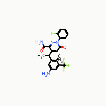 Cc1c([C@@H](C)c2cc(=O)n(-c3ccccc3F)nc2C(N)=O)cc(N)cc1C(F)(F)F